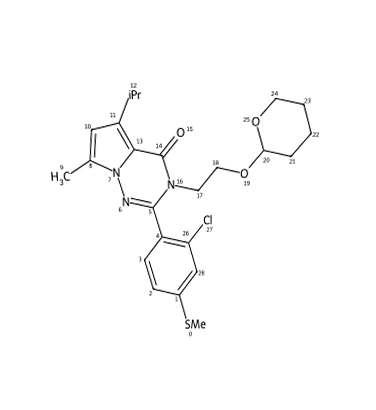 CSc1ccc(-c2nn3c(C)cc(C(C)C)c3c(=O)n2CCOC2CCCCO2)c(Cl)c1